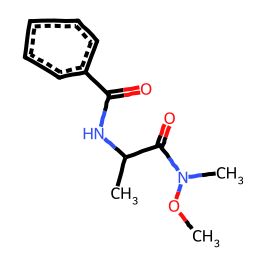 CON(C)C(=O)C(C)NC(=O)c1ccccc1